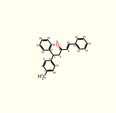 Cc1ccc(C(CC(=O)/C=C/c2ccccc2)c2ccccc2)cc1